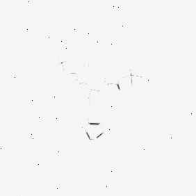 CN(CC(CSSc1ccccn1)CN(C)C(O)OC(C)(C)C)C(=O)OC(C)(C)C